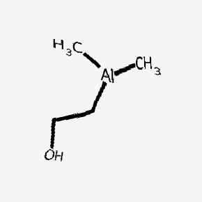 [CH3][Al]([CH3])[CH2]CO